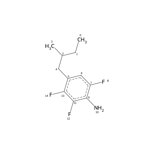 CCC(C)Cc1cc(F)c(N)c(F)c1F